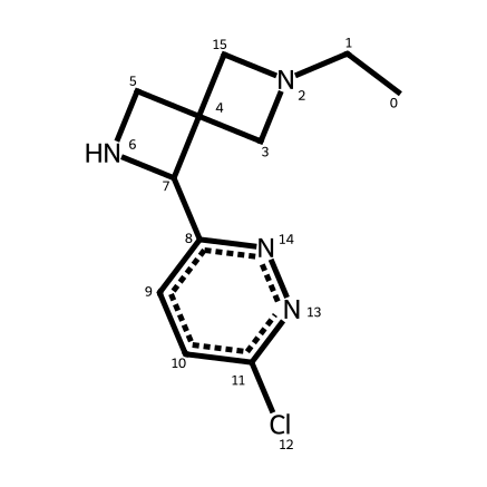 CCN1CC2(CNC2c2ccc(Cl)nn2)C1